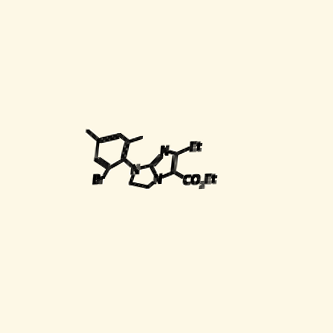 CCOC(=O)c1c(CC)nc2n1CCN2c1c(C)cc(C)cc1Br